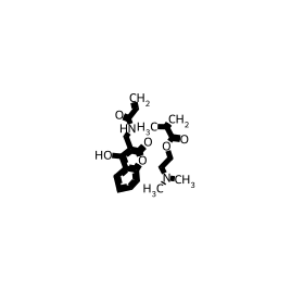 C=C(C)C(=O)OCCN(C)C.C=CC(=O)NCc1c(O)c2ccccc2oc1=O